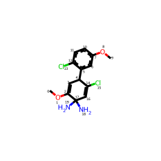 COC1=CC(c2cc(OC)ccc2Cl)C(Cl)=CC1(N)N